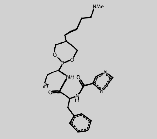 CNCCCCC1COB(C(CC(C)C)NC(=O)C(Cc2ccccc2)NC(=O)c2cnccn2)OC1